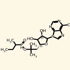 CCC(C)[PH](=O)OC(C)(C)C[C@H]1OC(n2cnc3c(Cl)ncnc32)[C@H](O)C1O